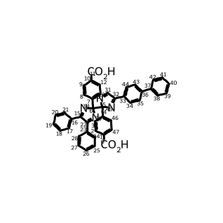 O=C(O)c1ccc(C2(C3(c4ccc(C(=O)O)cc4)N=C(c4ccccc4)C(c4ccccc4)=N3)N=CC(c3ccc(-c4ccccc4)cc3)=N2)cc1